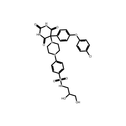 O=C1NC(=O)C(c2ccc(Oc3ccc(Cl)cc3)cc2)(N2CCN(c3ccc(S(=O)(=O)NCC(O)CO)cc3)CC2)C(=O)N1